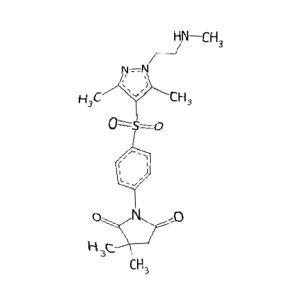 CNCCn1nc(C)c(S(=O)(=O)c2ccc(N3C(=O)CC(C)(C)C3=O)cc2)c1C